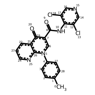 Cc1ccc(-n2cc(C(=O)Nc3c(Cl)cncc3Cl)c(=O)c3cccnc32)cc1